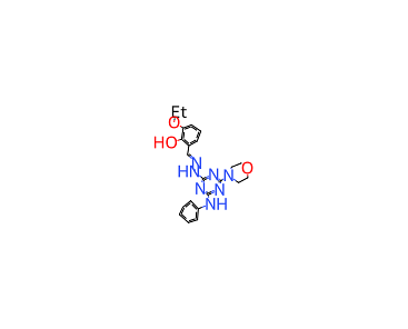 CCOc1cccc(/C=N/Nc2nc(Nc3ccccc3)nc(N3CCOCC3)n2)c1O